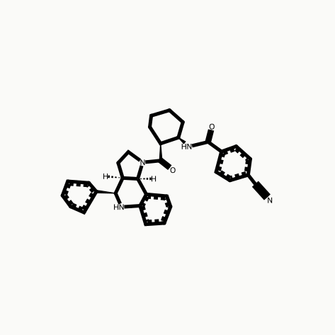 N#Cc1ccc(C(=O)N[C@@H]2CCCC[C@@H]2C(=O)N2CC[C@@H]3[C@H](c4ccccc4)Nc4ccccc4[C@@H]32)cc1